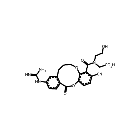 N#Cc1ccc2c(c1C(=O)N(CCO)CC(=O)O)OCCCc1cc(NC(=N)N)ccc1C(=O)O2